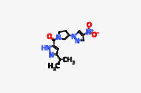 CC(C)c1cc(C(=O)N2CCC(n3cc([N+](=O)[O-])cn3)C2)[nH]n1